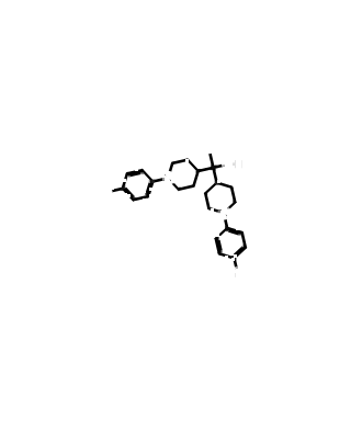 CC(O)(C1CCN(c2ccc(F)cc2)CC1)C1CCN(c2ccc(F)cc2)CC1